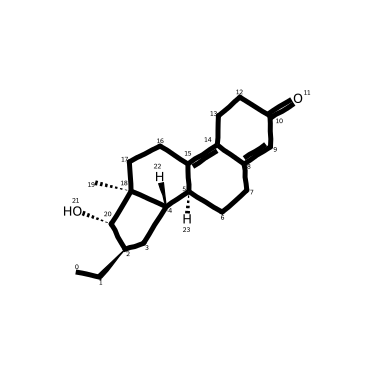 CC[C@@H]1C[C@H]2[C@@H]3CCC4=CC(=O)CCC4=C3CC[C@]2(C)[C@H]1O